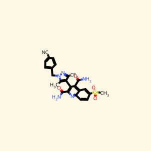 Cc1c(-c2c(C(N)=O)nc3ccc(S(C)(=O)=O)cc3c2C(N)=O)c(C(F)(F)F)nn1Cc1ccc(C#N)cc1